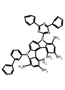 Bc1cc(B)c2c(c1B)c1c3c4c(B)c(B)cc(B)c4n(-c4nc(-c5ccccc5)nc(-c5ccccc5)n4)c3ccc1n2-c1cccc(-c2ccccc2)c1